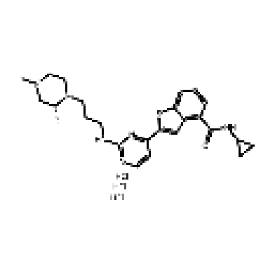 C[C@@H]1CN(C)CCN1CCCNc1nccc(-c2cc3c(C(=O)NC4CC4)cccc3s2)n1.Cl.Cl.Cl